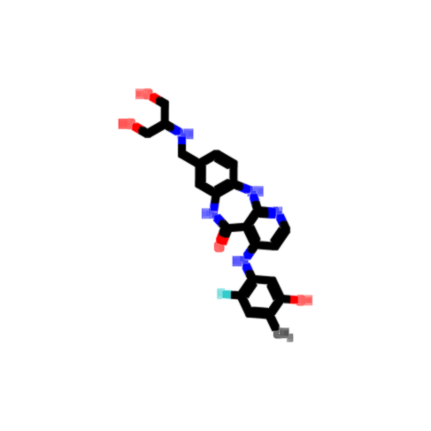 Cc1cc(F)c(Nc2ccnc3c2C(=O)Nc2cc(CNC(CO)CO)ccc2N3)cc1O